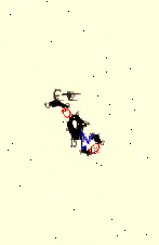 C=C(CC)COc1ccc(N2CCOCC2)cc1